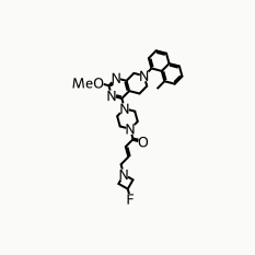 COc1nc2c(c(N3CCN(C(=O)/C=C/CN4CC(F)C4)CC3)n1)CCN(c1cccc3cccc(C)c13)C2